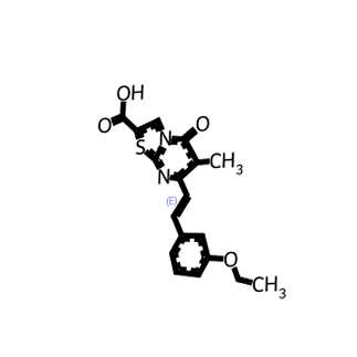 CCOc1cccc(/C=C/c2nc3sc(C(=O)O)cn3c(=O)c2C)c1